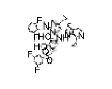 CN(Cc1c(F)cccc1F)c1nc(N[C@@H]2C[C@H](CS(=O)(=O)c3cc(F)cc(F)c3)[C@@H](O)[C@H]2O)c(-c2nc3c(C4CC4)nccc3s2)c(C2CC2)n1